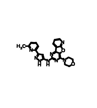 Cc1cccc(-c2cc(Nc3nc(N4CCOCC4)c4oc5ncccc5c4n3)[nH]n2)n1